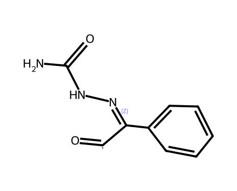 NC(=O)N/N=C(\[C]=O)c1ccccc1